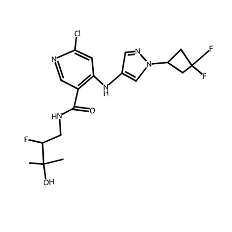 CC(C)(O)C(F)CNC(=O)c1cnc(Cl)cc1Nc1cnn(C2CC(F)(F)C2)c1